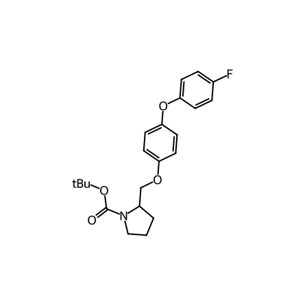 CC(C)(C)OC(=O)N1CCCC1COc1ccc(Oc2ccc(F)cc2)cc1